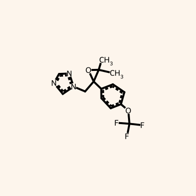 CC1(C)OC1(Cn1cncn1)c1ccc(OC(F)(F)F)cc1